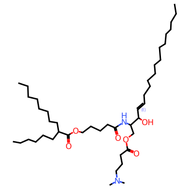 CCCCCCCCCCCCC/C=C/C(O)C(COC(=O)CCCN(C)C)NC(=O)CCCCOC(=O)C(CCCCCC)CCCCCCCC